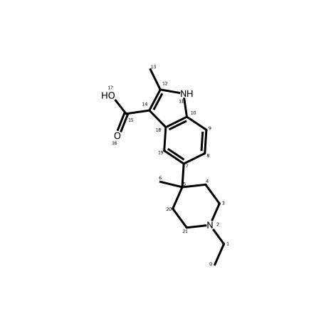 CCN1CCC(C)(c2ccc3[nH]c(C)c(C(=O)O)c3c2)CC1